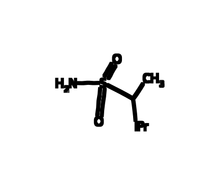 CC(C)C(C)S(N)(=O)=O